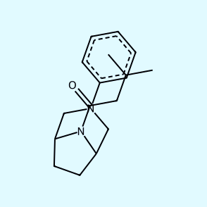 CC(C)CC(=O)N1C2CCC1CN(c1ccccc1)C2